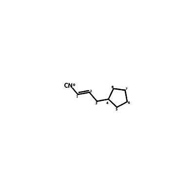 [C-]#[N+]/C=C/CC1CCCC1